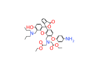 CCCN(CCC)Cc1c(O)ccc2c1Oc1c(ccc(Oc3ccc(N)cc3)c1CN(CC(=O)OCC)CC(=O)OCC)C21OC(=O)c2ccccc21